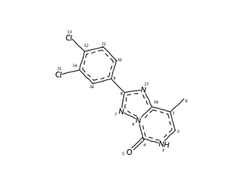 Cc1c[nH]c(=O)n2nc(-c3ccc(Cl)c(Cl)c3)nc12